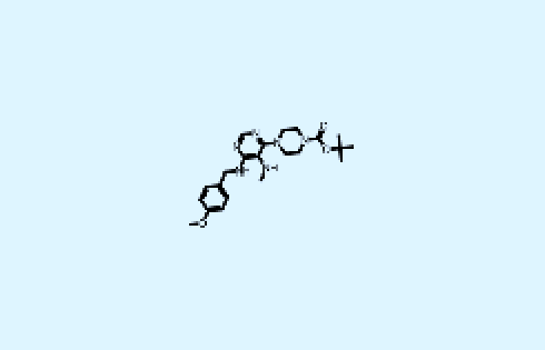 CNc1c(NCc2ccc(OC)cc2)ncnc1N1CCN(C(=O)OC(C)(C)C)CC1